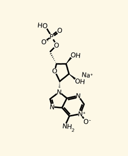 Nc1c2ncn([C@@H]3O[C@H](COP(=O)([O-])O)[C@@H](O)[C@H]3O)c2nc[n+]1[O-].[Na+]